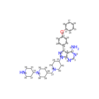 Nc1ncnc2c1c(-c1ccc(Oc3ccccc3)cc1)nn2C1CCN(CC2CCN(C3CCNCC3)CC2)CC1